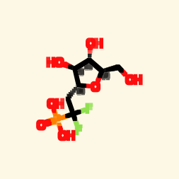 O=P(O)(O)C(F)(F)C[C@H]1O[C@H](CO)[C@@H](O)[C@@H]1O